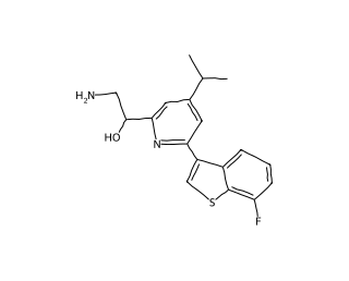 CC(C)c1cc(-c2csc3c(F)cccc23)nc(C(O)CN)c1